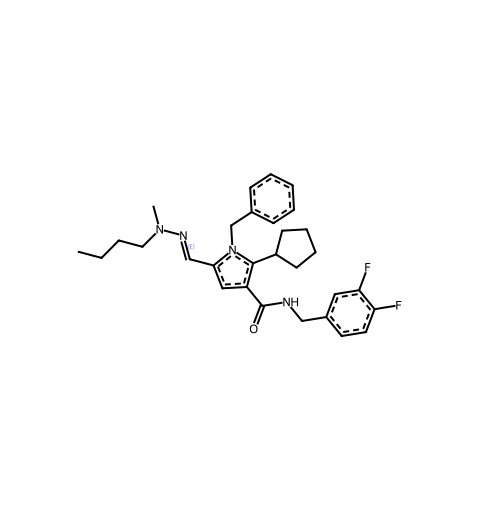 CCCCN(C)/N=C/c1cc(C(=O)NCc2ccc(F)c(F)c2)c(C2CCCC2)n1Cc1ccccc1